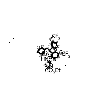 CCOC(=O)c1nnc(NC(=O)NC(Cc2ccccc2)(c2cccc(OC(F)(F)F)c2)c2cccc(OC(F)(F)F)c2)s1